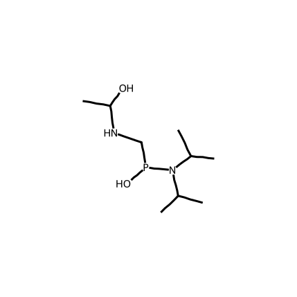 CC(O)NCP(O)N(C(C)C)C(C)C